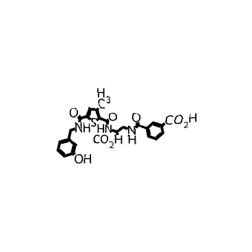 Cc1cc(C(=O)NCc2cccc(O)c2)sc1C(=O)NC(CNC(=O)c1cccc(C(=O)O)c1)C(=O)O